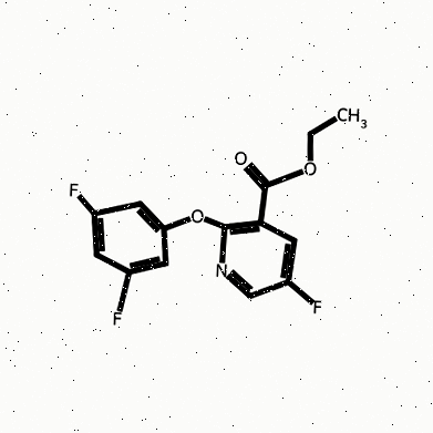 CCOC(=O)c1cc(F)cnc1Oc1cc(F)cc(F)c1